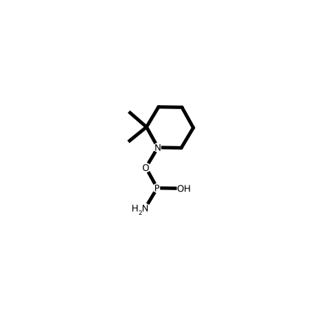 CC1(C)CCCCN1OP(N)O